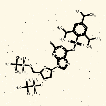 CC(C)c1cc(C(C)C)c(S(=O)(=O)Oc2nc(I)nc3c2ncn3[C@H]2C[C@H](O[Si](C)(C)C(C)(C)C)[C@@H](CO[Si](C)(C)C(C)(C)C)O2)c(C(C)C)c1